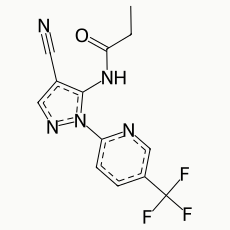 CCC(=O)Nc1c(C#N)cnn1-c1ccc(C(F)(F)F)cn1